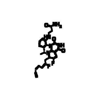 C#C/C=C\C=C(\F)Cc1nc2c(cc1F)c(=O)[nH]c(=O)n2-c1c(NCCC(N)=O)cccc1C(C)C